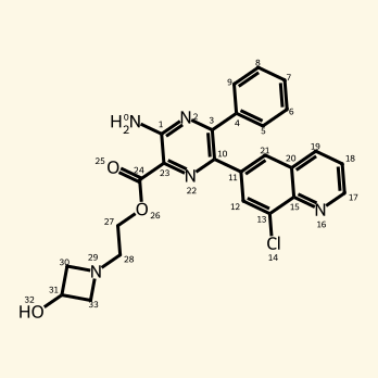 Nc1nc(-c2ccccc2)c(-c2cc(Cl)c3ncccc3c2)nc1C(=O)OCCN1CC(O)C1